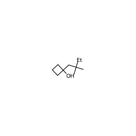 CCC(C)(C)CC1(O)CCC1